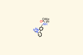 COC(=O)[C@@H](NCc1ccc(-c2ccccc2)c(-n2ncnn2)c1)C(C)C